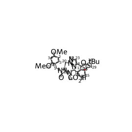 COc1ccc(CN2C(=O)[C@@H](N(Cc3ccccc3)C(=O)O)[C@@H]2Cn2ncc(CO[Si](C)(C)C(C)(C)C)n2)c(OC)c1